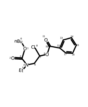 CCCCOC(=O)N(CC)CC(Cl)OC(=O)c1ccccc1